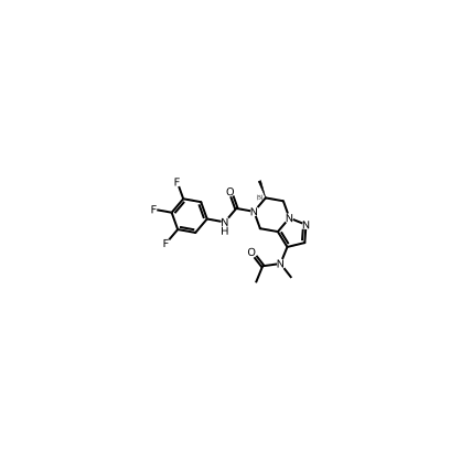 CC(=O)N(C)c1cnn2c1CN(C(=O)Nc1cc(F)c(F)c(F)c1)[C@@H](C)C2